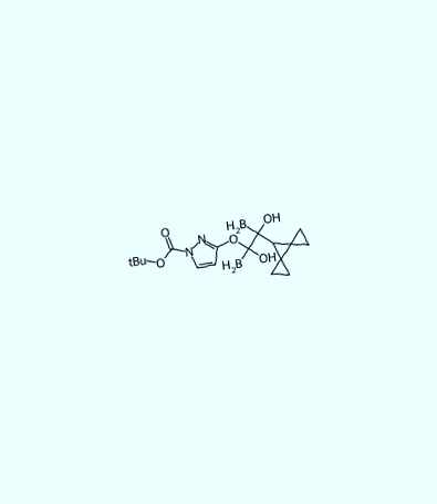 BC(O)(Oc1ccn(C(=O)OC(C)(C)C)n1)C(B)(O)C1C2(CC2)C12CC2